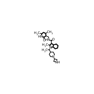 Cc1cc(C)c(CNC(=O)c2c(C)n(C(C)C3CCN(C4CNC4)CC3)c3ccccc23)c(=O)[nH]1